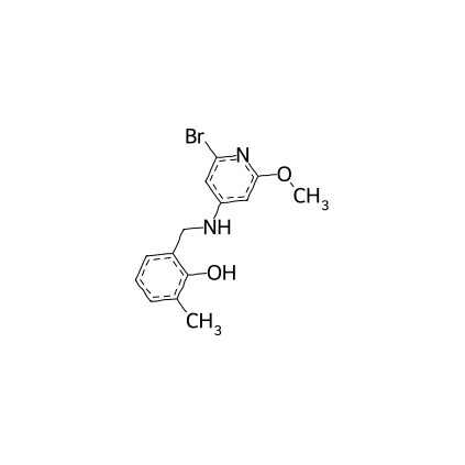 COc1cc(NCc2cccc(C)c2O)cc(Br)n1